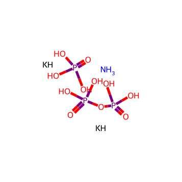 N.O=P(O)(O)O.O=P(O)(O)OP(=O)(O)O.[KH].[KH]